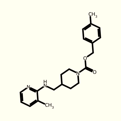 Cc1ccc(COC(=O)N2CCC(CNc3ncccc3C)CC2)cc1